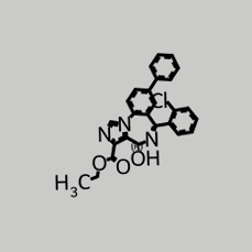 CCOC(=O)c1ncn2c1[C@@H](O)N=C(c1ccccc1Cl)c1cc(-c3ccccc3)ccc1-2